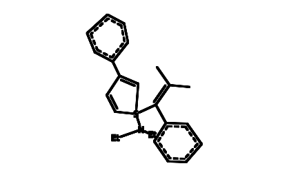 CCN(CC)S1(C(=C(C)C)c2ccccc2)C=CC(c2ccccc2)=C1